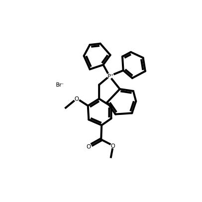 COC(=O)c1ccc(C[P+](c2ccccc2)(c2ccccc2)c2ccccc2)c(OC)c1.[Br-]